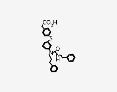 O=C(O)Cc1ccc(Sc2cccc(N(CCCc3ccccc3)C(=O)NCCc3ccccc3)c2)cc1